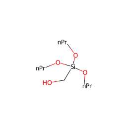 CCCO[Si](CO)(OCCC)OCCC